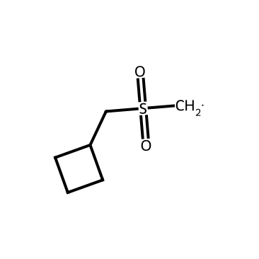 [CH2]S(=O)(=O)CC1CCC1